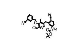 Cc1c(Cc2cc(NC(=O)OC(C)(C)C)ccc2C#N)cnc(C=O)c1OCc1cccc(C#N)c1